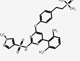 Cc1cccc(C)c1-c1cc(Oc2ccc(CCP(C)(C)=O)cc2)nc(NS(=O)(=O)c2cnn(C)c2)n1